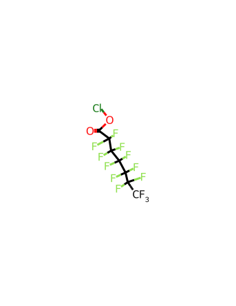 O=C(OCl)C(F)(F)C(F)(F)C(F)(F)C(F)(F)C(F)(F)C(F)(F)F